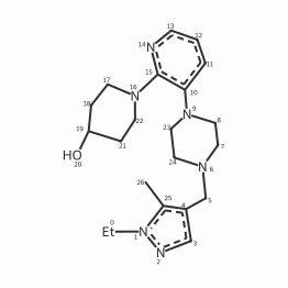 CCn1ncc(CN2CCN(c3cccnc3N3CCC(O)CC3)CC2)c1C